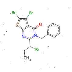 CCC(Br)c1nc2sc(Br)c(Br)c2c(=O)n1Cc1ccccc1